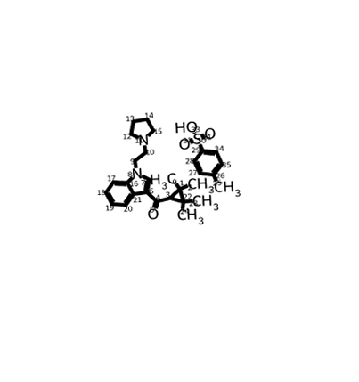 CC1(C)C(C(=O)c2cn(CCN3CCCC3)c3ccccc23)C1(C)C.Cc1ccc(S(=O)(=O)O)cc1